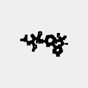 C=C(C(=O)Nc1cccc(-c2nncn2[C@@H](C)C(F)(F)F)n1)/C(=N\N(C)C)OC